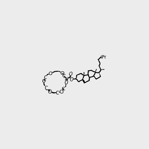 CC(C)CCC[C@@H](C)[C@H]1CCC2C3CC=C4CC(OC(=O)N5COCCOCCOCCOCCOCCO5)CC[C@]4(C)C3CC[C@@]21C